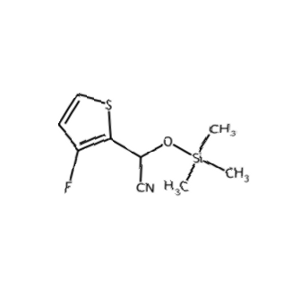 C[Si](C)(C)OC(C#N)c1sccc1F